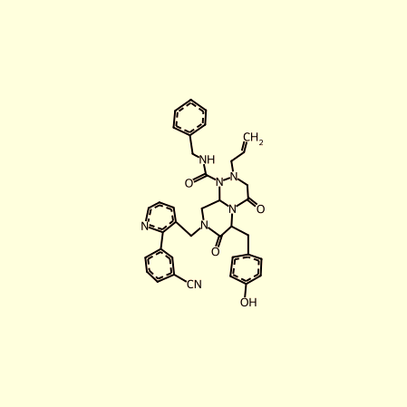 C=CCN1CC(=O)N2C(Cc3ccc(O)cc3)C(=O)N(Cc3cccnc3-c3cccc(C#N)c3)CC2N1C(=O)NCc1ccccc1